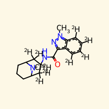 [2H]c1c([2H])c([2H])c2c(c(C(=O)NC3([2H])C([2H])([2H])C4CCCC(N4C)C3([2H])[2H])nn2C)c1[2H]